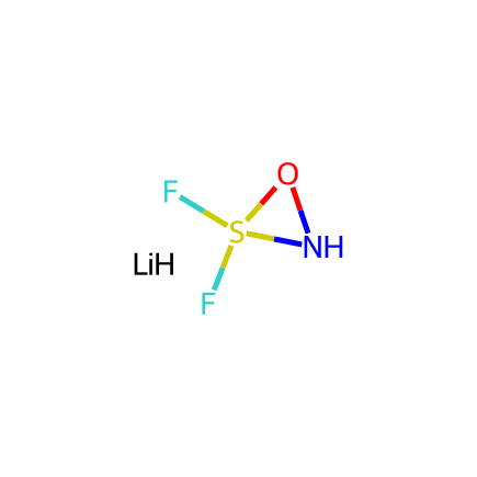 FS1(F)NO1.[LiH]